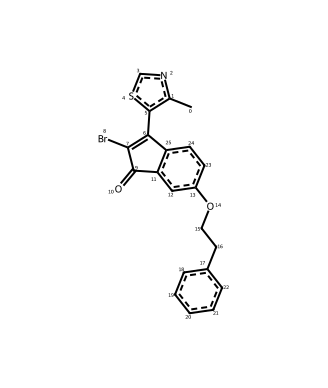 Cc1ncsc1C1=C(Br)C(=O)c2cc(OCCc3ccccc3)ccc21